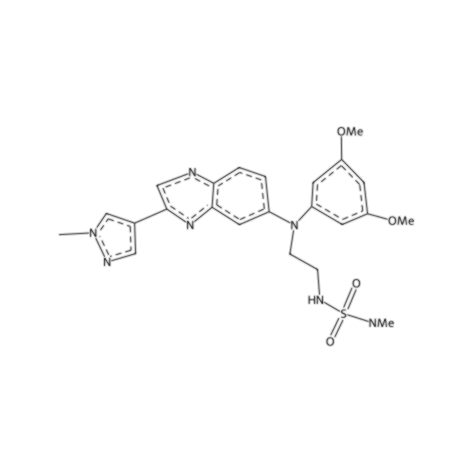 CNS(=O)(=O)NCCN(c1cc(OC)cc(OC)c1)c1ccc2ncc(-c3cnn(C)c3)nc2c1